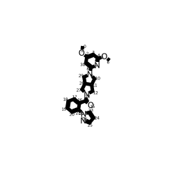 COc1cc(OC)nc(N2CC3CN(C(=O)c4ccccc4-n4cccn4)CC3C2)c1